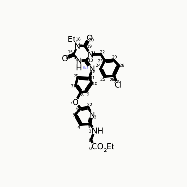 CCOC(=O)CNc1ccc(Oc2ccc(/N=c3\[nH]c(=O)n(CC)c(=O)n3Cc3ccc(Cl)cc3)cc2)cn1